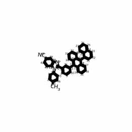 Cc1ccc(-n2c(-c3cccc(-c4c5ccccc5c(-c5cccc6ccccc56)c5ccccc45)c3)nc3cc(C#N)ccc32)cc1